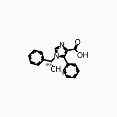 C[C@H](c1ccccc1)n1cnc(C(=O)O)c1-c1ccccc1